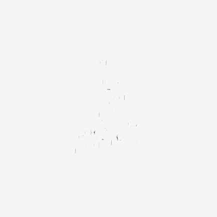 C=C(C)C(=O)O.C=C(C)C(=O)O.C=C(C)C(=O)OCC1CO1.C=Cc1ccccc1C=C.OCCO